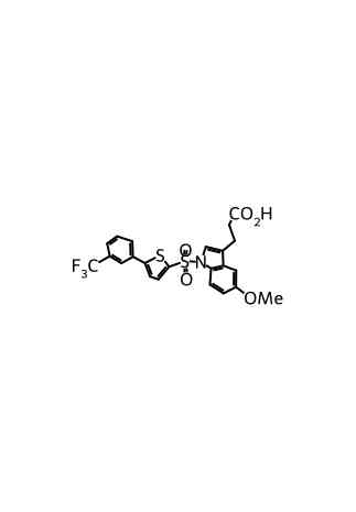 COc1ccc2c(c1)c(CCC(=O)O)cn2S(=O)(=O)c1ccc(-c2cccc(C(F)(F)F)c2)s1